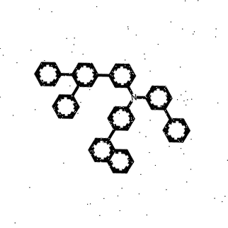 c1ccc(-c2cccc(N(c3ccc(-c4cccc5ccccc45)cc3)c3cccc(-c4ccc(-c5ccccc5)c(-c5ccccc5)c4)c3)c2)cc1